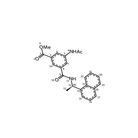 COC(=O)c1cc(NC(C)=O)cc(C(=O)N[C@H](C)c2cccc3ccccc23)c1